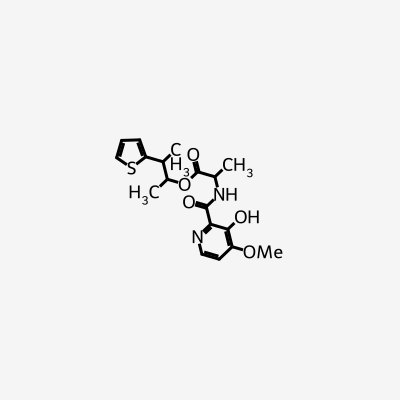 COc1ccnc(C(=O)NC(C)C(=O)OC(C)C(C)c2cccs2)c1O